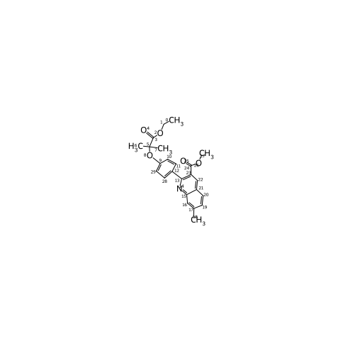 CCOC(=O)C(C)(C)Oc1ccc(-c2nc3cc(C)ccc3cc2C(=O)OC)cc1